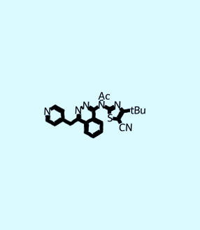 CC(=O)N(c1nc(C(C)(C)C)c(C#N)s1)c1nnc(Cc2ccncc2)c2ccccc12